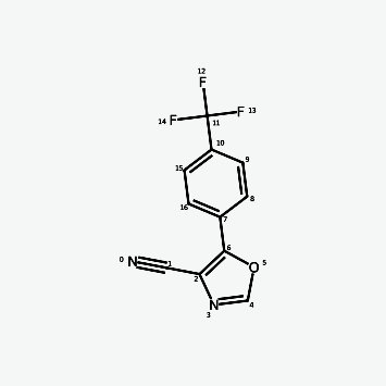 N#Cc1ncoc1-c1ccc(C(F)(F)F)cc1